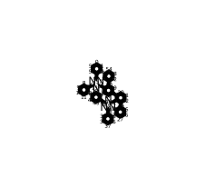 c1ccc(-c2nc(-c3ccccc3)nc(-c3ccc(-c4cccc(-c5ccccc5)c4-c4nc(-c5ccccc5)nc(-c5ccccc5)n4)cc3-c3ccccc3)n2)cc1